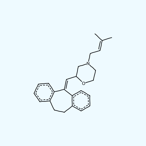 CC(C)=CCN1CCOC(C=C2c3ccccc3CCc3ccccc32)C1